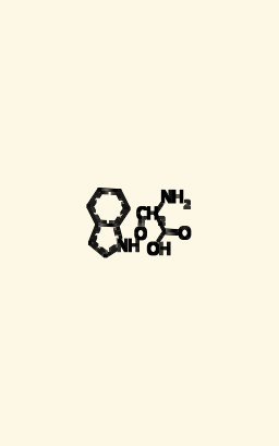 C=O.NCC(=O)O.c1ccc2[nH]ccc2c1